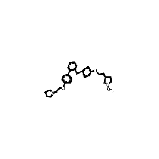 CN1CCC(CCOc2ccc(Cc3ccccc3-c3ccc(OCCN4CCCC4)cc3)cc2)C1